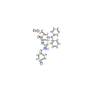 CCOC(=O)c1cn(C(c2ccccc2)c2ccccc2)c2sc(NCc3ccc(Cl)cc3)nc2c1=O